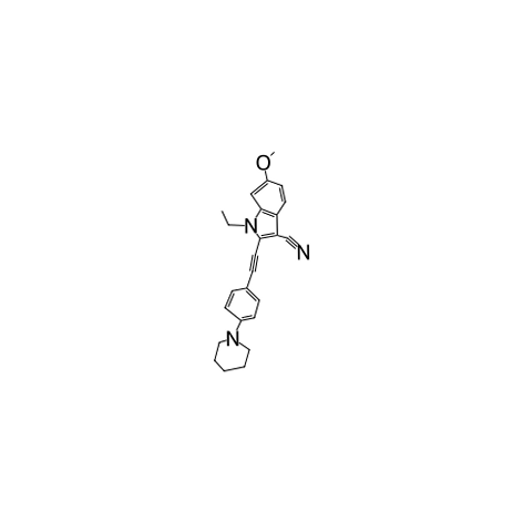 CCn1c(C#Cc2ccc(N3CCCCC3)cc2)c(C#N)c2ccc(OC)cc21